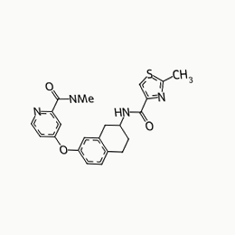 CNC(=O)c1cc(Oc2ccc3c(c2)CC(NC(=O)c2csc(C)n2)CC3)ccn1